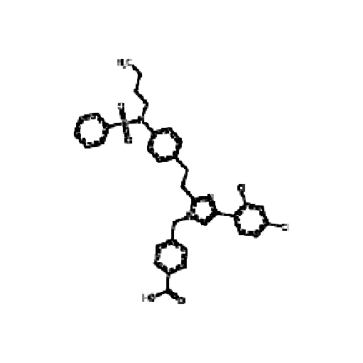 CCCCN(c1ccc(CCc2nc(-c3ccc(Cl)cc3Cl)cn2Cc2ccc(C(=O)O)cc2)cc1)S(=O)(=O)c1ccccc1